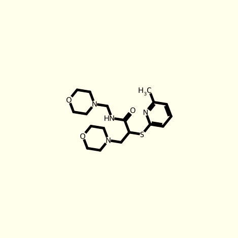 Cc1cccc(SC(CN2CCOCC2)C(=O)NCN2CCOCC2)n1